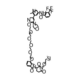 Cc1ncc(NC(=O)c2cccc(C(F)(F)F)c2)cc1-c1cnc(OCCOCCOCCOCCOCCOc2cccc3c2CN(C2CCC(=O)N(COCC[Si](C)(C)C)C2=O)C3=O)c(N2CCOCC2)c1